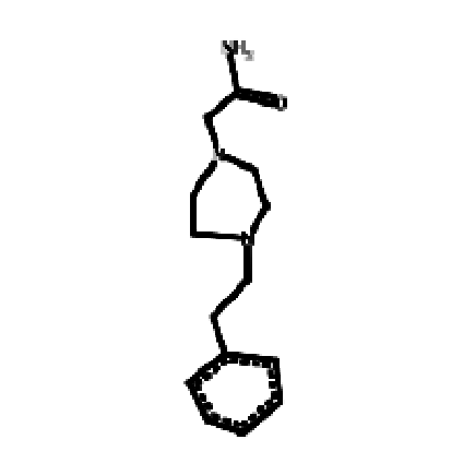 NC(=O)CN1CCN(CCc2ccccc2)CC1